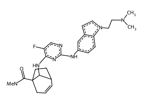 CNC(=O)C12CC=CC(CC1)C2Nc1nc(Nc2ccc3c(ccn3CCN(C)C)c2)ncc1F